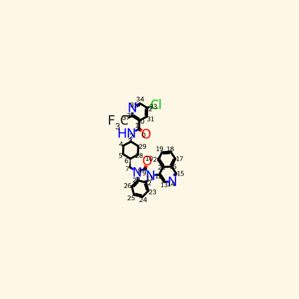 O=C(N[C@H]1CC[C@H](Cn2c(=O)n(-c3cncc4ccccc34)c3ccccc32)CC1)c1cc(Cl)cnc1C(F)(F)F